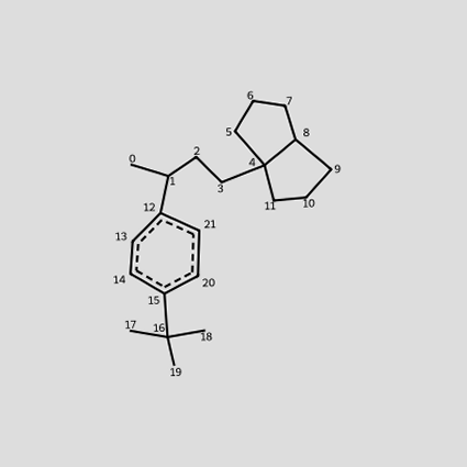 CC(CCC12CCCC1CCC2)c1ccc(C(C)(C)C)cc1